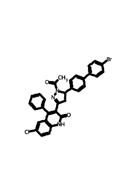 CC(=O)N1N=C(c2c(-c3ccccc3)c3cc(Cl)ccc3[nH]c2=O)CC1c1ccc(-c2ccc(Br)cc2)cc1